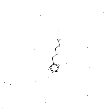 OCCNCc1ccco1